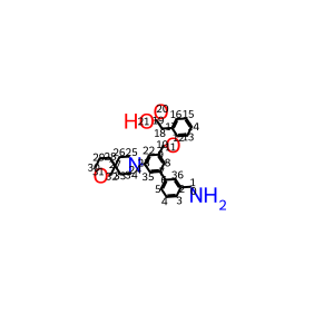 NCc1cccc(-c2cc(COc3ccccc3CC(=O)O)cc(N3CCC4(CCCOC4)CC3)c2)c1